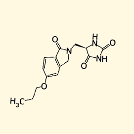 CCCOc1ccc2c(c1)CN(C[C@H]1NC(=O)NC1=O)C2=O